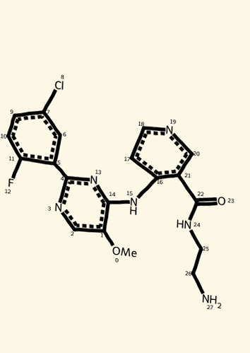 COc1cnc(-c2cc(Cl)ccc2F)nc1Nc1ccncc1C(=O)NCCN